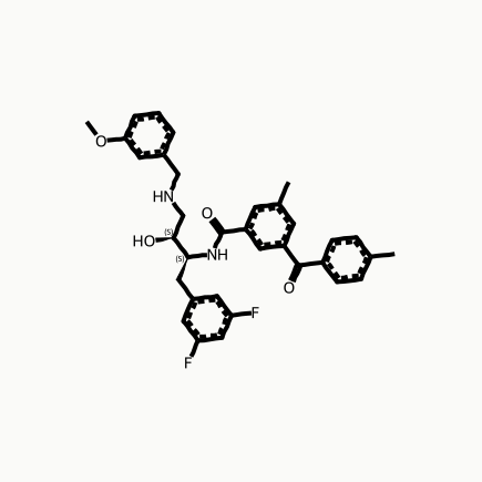 COc1cccc(CNC[C@H](O)[C@H](Cc2cc(F)cc(F)c2)NC(=O)c2cc(C)cc(C(=O)c3ccc(C)cc3)c2)c1